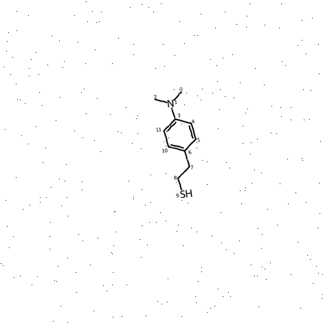 CN(C)c1ccc(CCS)cc1